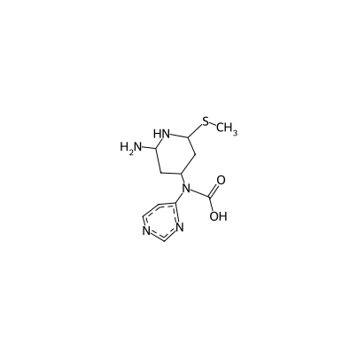 CSC1CC(N(C(=O)O)c2ccncn2)CC(N)N1